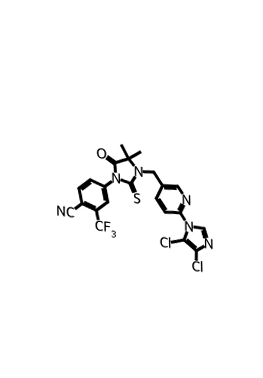 CC1(C)C(=O)N(c2ccc(C#N)c(C(F)(F)F)c2)C(=S)N1Cc1ccc(-n2cnc(Cl)c2Cl)nc1